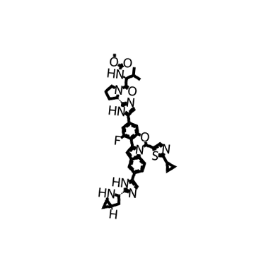 COC(=O)N[C@H](C(=O)N1CCC[C@H]1c1ncc(-c2cc(F)c3c(c2)OC(c2cnc(C4CC4)s2)n2c-3cc3cc(-c4cnc([C@@H]5C[C@H]6CC6N5)[nH]4)ccc32)[nH]1)C(C)C